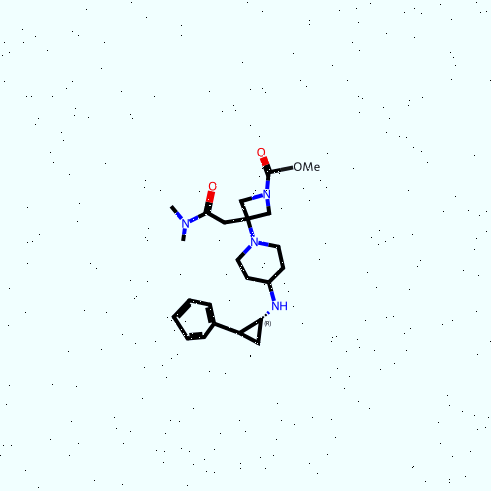 COC(=O)N1CC(CC(=O)N(C)C)(N2CCC(N[C@@H]3CC3c3ccccc3)CC2)C1